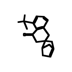 CC(C)(C)c1cccc2c1C(=O)CC1(CC3=CCC1C3)C2